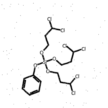 ClC(Cl)CCO[Si](OCCC(Cl)Cl)(OCCC(Cl)Cl)Oc1ccccc1